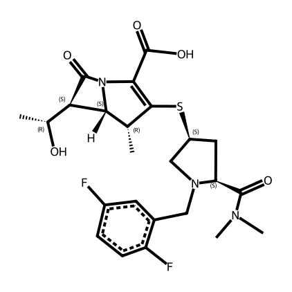 C[C@@H](O)[C@H]1C(=O)N2C(C(=O)O)=C(S[C@H]3C[C@@H](C(=O)N(C)C)N(Cc4cc(F)ccc4F)C3)[C@H](C)[C@H]12